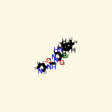 C[C@@H]1[C@H]2C[C@@H](C[C@H]1Nc1cnn(CC(=O)Nc3cccnc3)c(=O)c1Br)C2(C)C